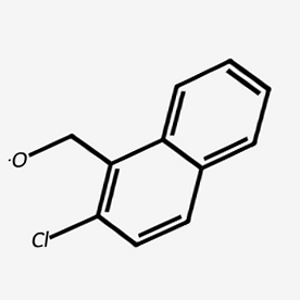 [O]Cc1c(Cl)ccc2ccccc12